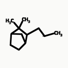 C[CH]CC1C2CCC(C2)C1(C)C